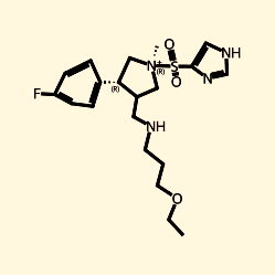 CCOCCCNCC1C[N@+](C)(S(=O)(=O)c2c[nH]cn2)C[C@H]1c1ccc(F)cc1